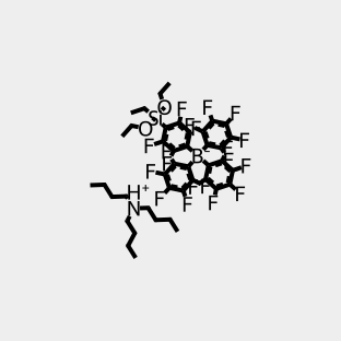 CCCC[NH+](CCCC)CCCC.CCO[Si](CC)(OCC)c1c(F)c(F)c([B-](c2c(F)c(F)c(F)c(F)c2F)(c2c(F)c(F)c(F)c(F)c2F)c2c(F)c(F)c(F)c(F)c2F)c(F)c1F